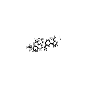 Cn1ncc2c(N)nc3ccc(C(=O)N(Cc4ccc(C(F)(F)F)cn4)N4CCOC5(CC5)C4)cc3c21